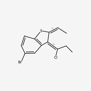 C/C=c1/sc2ccc(Br)cc2/c1=C(\Cl)CC